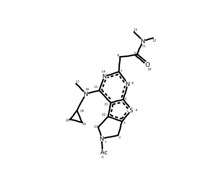 CC(=O)N1Cc2sc3nc(CC(=O)N(C)C)nc(N(C)C4CC4)c3c2C1